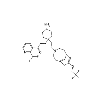 NC1CCC(CCC(=O)c2cccnc2C(F)F)(CCN2CCC3=CC(CC2)N=C(OCC(F)(F)F)S3)CC1